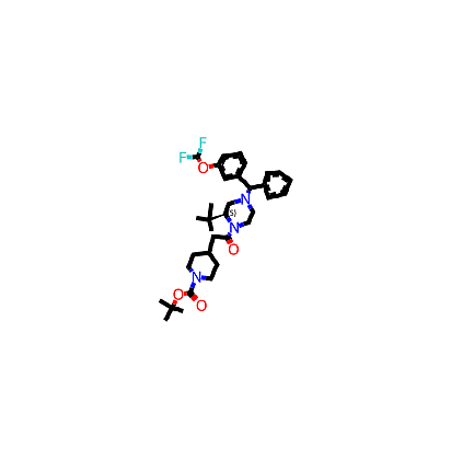 CC(C)(C)OC(=O)N1CCC(CC(=O)N2CCN(C(c3ccccc3)c3cccc(OC(F)F)c3)C[C@@H]2C(C)(C)C)CC1